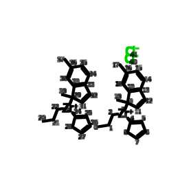 CC[CH2][Zr+]([C]1=CC=CC1)[C]1(C)C=Cc2ccc(C)cc21.CC[CH2][Zr+]([C]1=CC=CC1)[C]1(C)C=Cc2ccc(C)cc21.[Cl-].[Cl-]